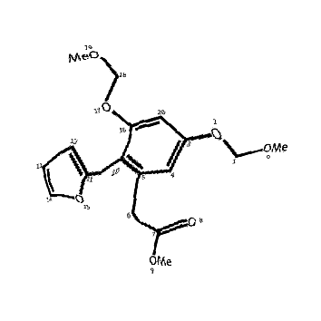 COCOc1cc(CC(=O)OC)c(-c2ccco2)c(OCOC)c1